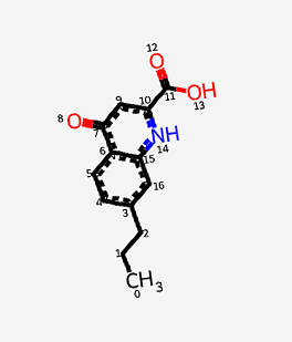 CCCc1ccc2c(=O)cc(C(=O)O)[nH]c2c1